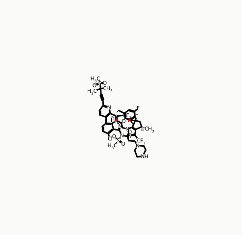 C[C@H]1CC(F)(F)c2c1c(C(F)(F)F)nn2CC(=O)N[C@@H](Cc1cc(F)cc(F)c1)c1nc(C#CC(C)(C)S(C)(=O)=O)ccc1-c1ccc(Cl)c2c(N(C(=O)CCN3CCNCC3)S(C)(=O)=O)nn(CC(F)(F)F)c12